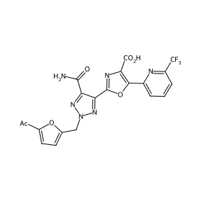 CC(=O)c1ccc(Cn2nc(C(N)=O)c(-c3nc(C(=O)O)c(-c4cccc(C(F)(F)F)n4)o3)n2)o1